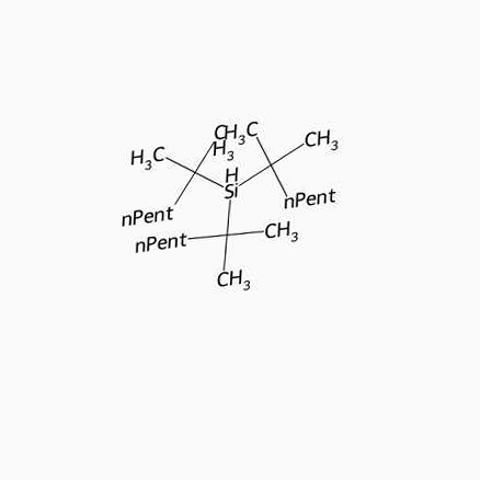 CCCCCC(C)(C)[SiH](C(C)(C)CCCCC)C(C)(C)CCCCC